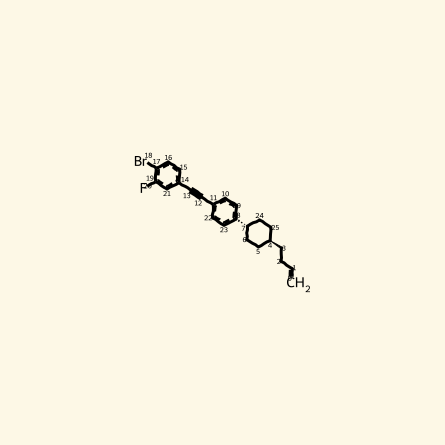 C=CCC[C@H]1CC[C@H](c2ccc(C#Cc3ccc(Br)c(F)c3)cc2)CC1